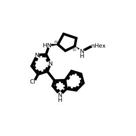 [CH2]CCCCCN[C@H]1CC[C@H](Nc2ncc(Cl)c(-c3c[nH]c4ccccc34)n2)C1